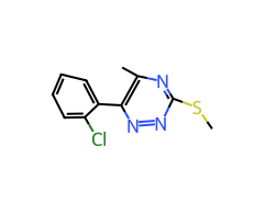 CSc1nnc(-c2ccccc2Cl)c(C)n1